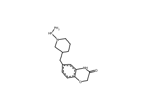 O=C1COc2ccc(CC3CCCN(PP)C3)cc2N1